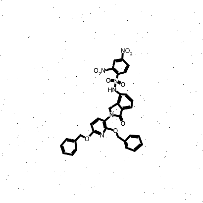 O=C1c2cccc(NS(=O)(=O)c3ccc([N+](=O)[O-])cc3[N+](=O)[O-])c2CN1c1ccc(OCc2ccccc2)nc1OCc1ccccc1